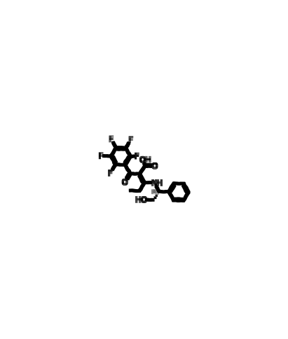 CCC(N[C@@H](CO)c1ccccc1)=C(C(=O)O)C(=O)c1c(F)c(F)c(F)c(F)c1F